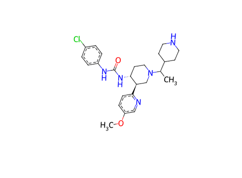 COc1ccc([C@@H]2CN(C(C)C3CCNCC3)CC[C@H]2NC(=O)Nc2ccc(Cl)cc2)nc1